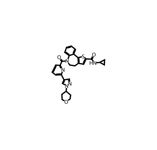 O=C(NC1CC1)c1cc2c(s1)-c1ccccc1N(C(=O)c1cccc(-c3cnn(C4CCOCC4)c3)n1)CC2